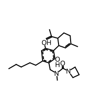 C=C(C)C1CCC(C)=CC1c1c(O)cc(CCCCC)c(CN(C)C(=O)N2CCC2)c1O